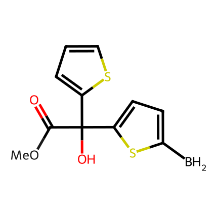 Bc1ccc(C(O)(C(=O)OC)c2cccs2)s1